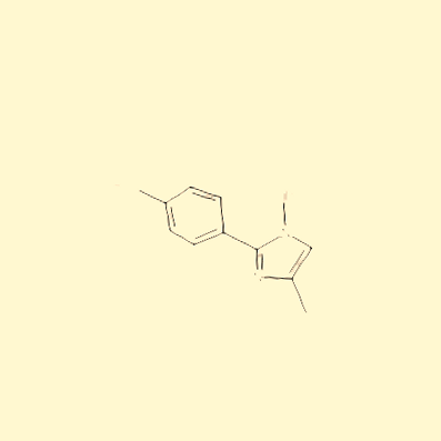 Cc1cn(C(C)C)c(-c2ccc(C(F)(F)F)cc2)n1